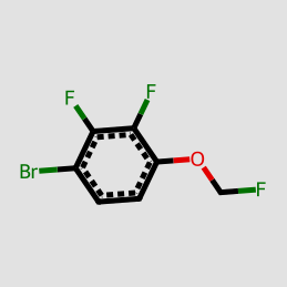 FCOc1ccc(Br)c(F)c1F